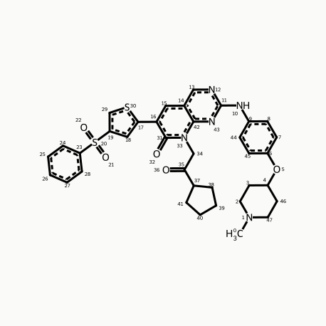 CN1CCC(Oc2ccc(Nc3ncc4cc(-c5cc(S(=O)(=O)c6ccccc6)cs5)c(=O)n(CC(=O)C5CCCC5)c4n3)cc2)CC1